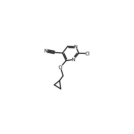 N#Cc1cnc(Cl)nc1OCC1CC1